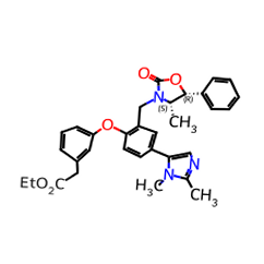 CCOC(=O)Cc1cccc(Oc2ccc(-c3cnc(C)n3C)cc2CN2C(=O)O[C@H](c3ccccc3)[C@@H]2C)c1